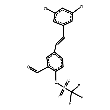 O=Cc1cc(/C=C/c2cc(Cl)cc(Cl)c2)ccc1OS(=O)(=O)C(F)(F)F